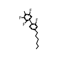 CCCCCCc1ccc(-c2cc(F)c(C)c(F)c2F)c(F)c1